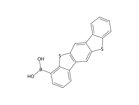 OB(O)c1cccc2c1sc1cc3c(cc12)sc1ccccc13